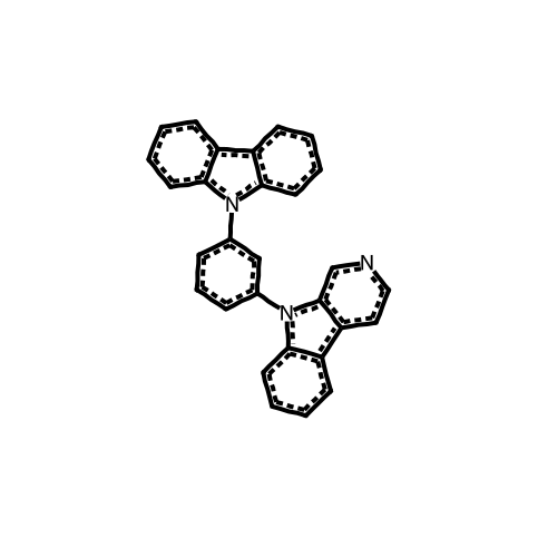 c1cc(-n2c3ccccc3c3ccccc32)cc(-n2c3ccccc3c3ccncc32)c1